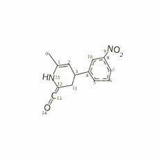 CC1=CC(c2cccc([N+](=O)[O-])c2)CC(=C=O)N1